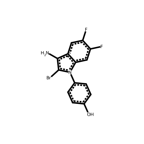 Nc1c(Br)n(-c2ccc(O)cc2)c2cc(F)c(F)cc12